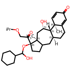 CC(C)OCC(=O)[C@@]1(OC(O)C2CCCCC2)CCC2C[C@@H]3CCC4=CC(=O)C=C[C@]4(C)[C@H]3[C@@H](O)C[C@@]21C